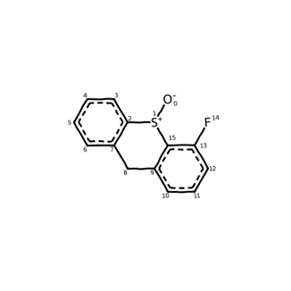 [O-][S+]1c2ccccc2Cc2cccc(F)c21